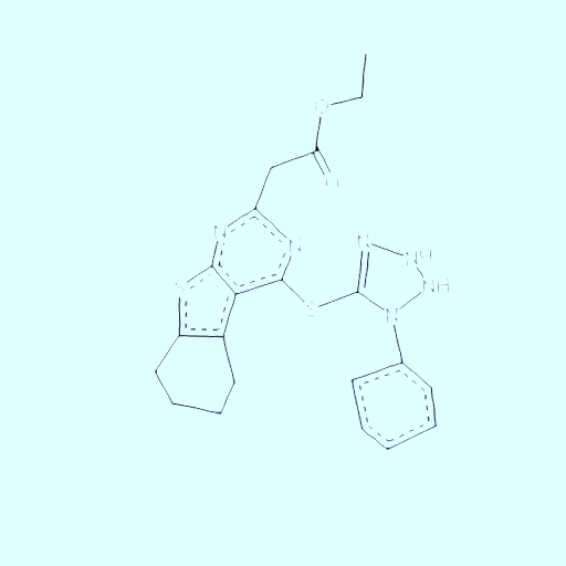 CCOC(=O)Cc1nc(SC2=NNNN2c2ccccc2)c2c3c(sc2n1)CCCC3